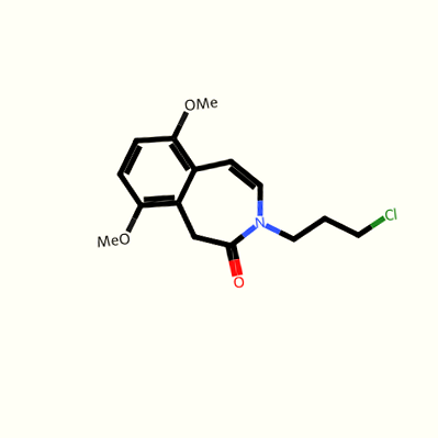 COc1ccc(OC)c2c1C=CN(CCCCl)C(=O)C2